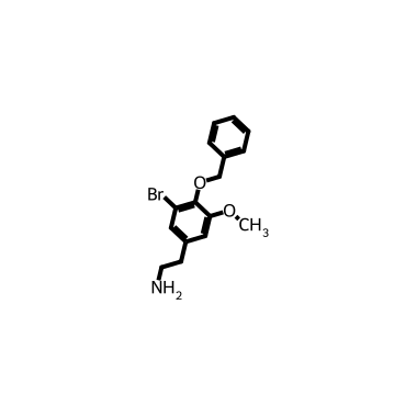 COc1cc(CCN)cc(Br)c1OCc1ccccc1